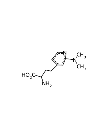 CN(C)c1cc(CCC(N)C(=O)O)ccn1